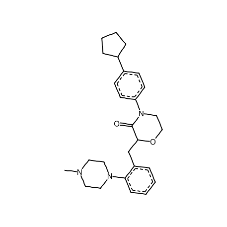 CN1CCN(c2ccccc2CC2OCCN(c3ccc(C4CCCC4)cc3)C2=O)CC1